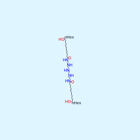 CCCCCCC(O)CCCCCCCCCCC(=O)NCCNCCNCCNCCNC(=O)CCCCCCCCCCC(O)CCCCCC